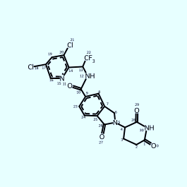 O=C1CCC(N2Cc3cc(C(=O)NC(c4ncc(Cl)cc4Cl)C(F)(F)F)ccc3C2=O)C(=O)N1